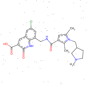 Cc1cc(C(=O)NCc2cc(Cl)cc3cc(C(=O)O)c(=O)[nH]c23)c(C)n1CC1CCN(C)C1